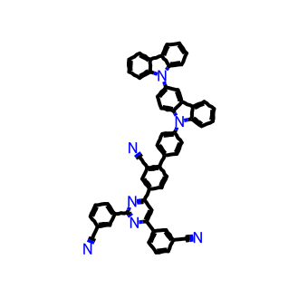 N#Cc1cccc(-c2cc(-c3ccc(-c4ccc(-n5c6ccccc6c6cc(-n7c8ccccc8c8ccccc87)ccc65)cc4)c(C#N)c3)nc(-c3cccc(C#N)c3)n2)c1